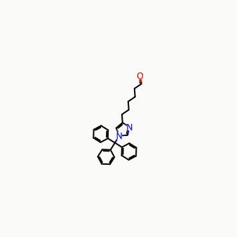 O=CCCCCCc1cn(C(c2ccccc2)(c2ccccc2)c2ccccc2)cn1